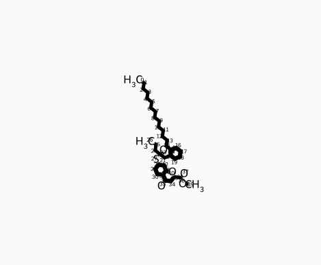 CCCCCCCCCCCCCCCc1ccccc1C[C@@](O)(CCC)Sc1ccc2c(=O)cc(C(=O)OC)oc2c1